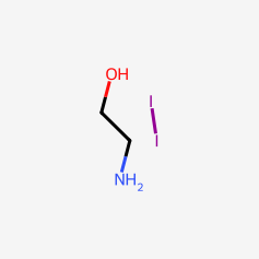 II.NCCO